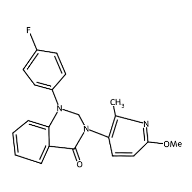 COc1ccc(N2CN(c3ccc(F)cc3)c3ccccc3C2=O)c(C)n1